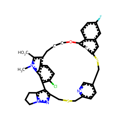 Cn1c(C(=O)O)c2c3ccc(Cl)c(c31)-c1c(nn3c1CCC3)CSCc1ccc(cn1)CSc1cc(c3ccc(F)cc3c1)OCCC2